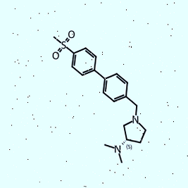 CN(C)[C@H]1CCN(Cc2ccc(-c3ccc(S(C)(=O)=O)cc3)cc2)C1